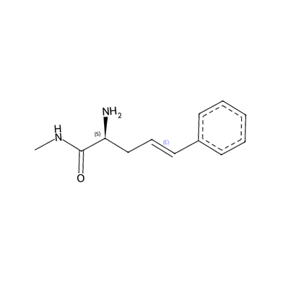 CNC(=O)[C@@H](N)C/C=C/c1ccccc1